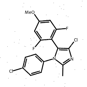 COc1cc(F)c(-c2c(Cl)nc(C)n2-c2ccc(Cl)cc2)c(F)c1